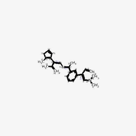 C=C/C(=C\N(C)C)c1cccc(/C(C)=N/C=C(\C(=C)C)C2=C(C)CC=C2)c1